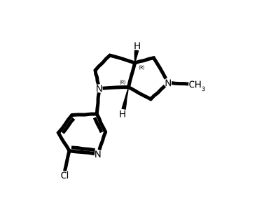 CN1C[C@H]2CCN(c3ccc(Cl)nc3)[C@H]2C1